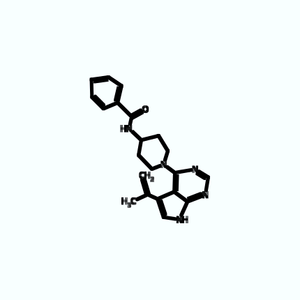 C=C(C)c1c[nH]c2ncnc(N3CCC(NC(=O)c4ccccc4)CC3)c12